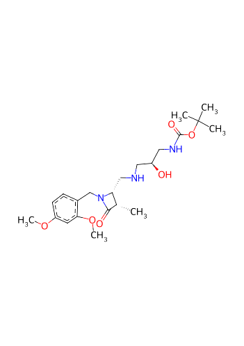 COc1ccc(CN2C(=O)[C@@H](C)[C@H]2CNC[C@H](O)CNC(=O)OC(C)(C)C)c(OC)c1